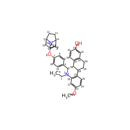 CCN(Cc1ccc(OC2CC3CCC(C2)N3C)cc1)c1cc(OC)ccc1C1CCc2cc(O)ccc2C1